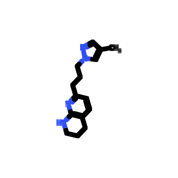 Cc1cnn(CCCc2ccc3c(n2)NCCC3)c1